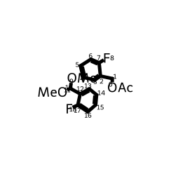 CC(=O)OCc1ccccc1F.COC(OC)c1ccccc1F